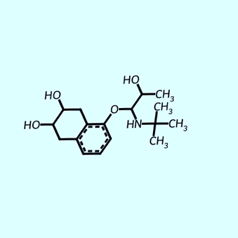 CC(O)C(NC(C)(C)C)Oc1cccc2c1CC(O)C(O)C2